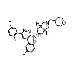 Cc1ccc(F)cc1-c1cc(-c2cc(F)ccc2C)c(N[C@H]2C[C@@H]3CN(CC4CCOCC4)C[C@@H]3C2)nn1